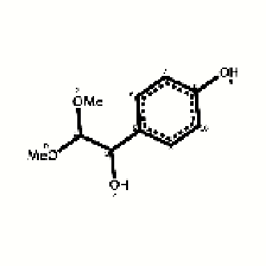 COC(OC)C(O)c1ccc(O)cc1